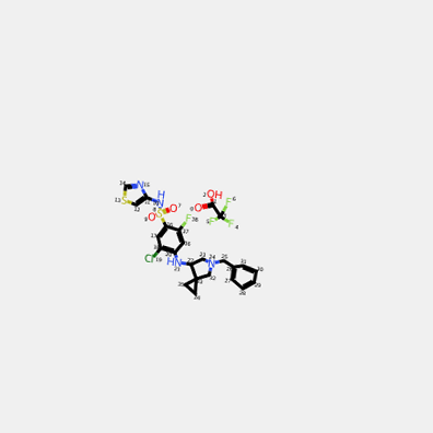 O=C(O)C(F)(F)F.O=S(=O)(Nc1cscn1)c1cc(Cl)c(NC2CN(Cc3ccccc3)CC23CC3)cc1F